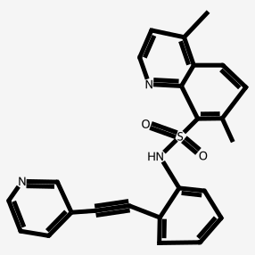 Cc1ccc2c(C)ccnc2c1S(=O)(=O)Nc1ccccc1C#Cc1cccnc1